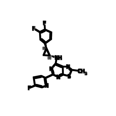 Cc1nc2c(N[C@@H]3C[C@H]3c3ccc(F)c(F)c3)nc(-c3ccc(F)cn3)nc2s1